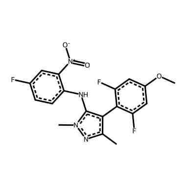 COc1cc(F)c(-c2c(C)nn(C)c2Nc2ccc(F)cc2[N+](=O)[O-])c(F)c1